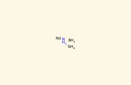 B.N.[Nd].[SiH4]